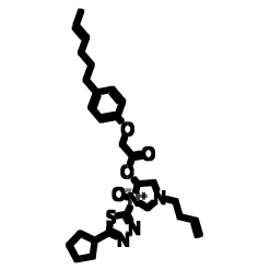 C=CCCN1CC(OC(=O)COc2ccc(CCCC=CC)cc2)[N+]([O-])(c2nnc(C3CCCC3)s2)C1